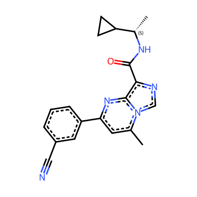 Cc1cc(-c2cccc(C#N)c2)nc2c(C(=O)N[C@@H](C)C3CC3)ncn12